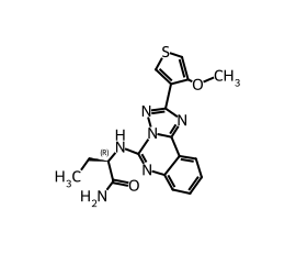 CC[C@@H](Nc1nc2ccccc2c2nc(-c3cscc3OC)nn12)C(N)=O